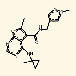 Cc1oc2ncnc(NC3(C)CC3)c2c1C(=O)NCc1cnn(C)c1